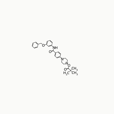 CC(C)(C)C(=O)ON1CCN(c2ccc(C(=O)Nc3cccc(OCc4ccccc4)c3)cc2)CC1